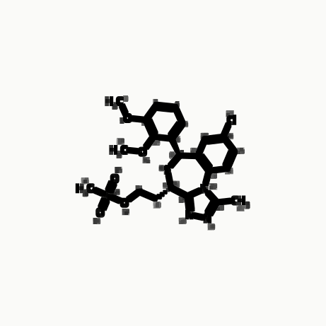 COc1cccc([C@@H]2S[C@@H](CCOS(C)(=O)=O)c3nnc(C)n3-c3ccc(Cl)cc32)c1OC